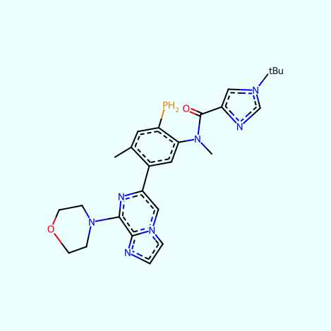 Cc1cc(P)c(N(C)C(=O)c2cn(C(C)(C)C)cn2)cc1-c1cn2ccnc2c(N2CCOCC2)n1